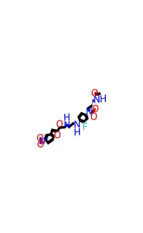 CC(=O)NC[C@H]1CN(c2ccc(NCCNCC(=O)c3cc4cc([N+](=O)[O-])ccc4o3)c(F)c2)C(=O)O1